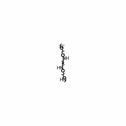 C/C=C(\C=C/NCC)C(/C)=C/c1ccc(NCCSSCCNc2ccc(/C=C(\C)c3cc[n+](CC)cc3)cc2)cc1